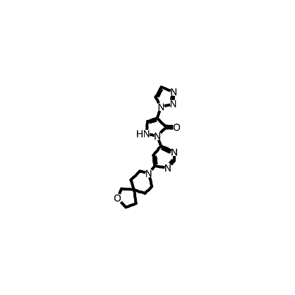 O=c1c(-n2ccnn2)c[nH]n1-c1cc(N2CCC3(CCOC3)CC2)ncn1